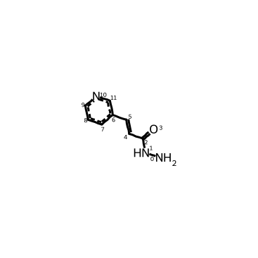 NNC(=O)C=Cc1cccnc1